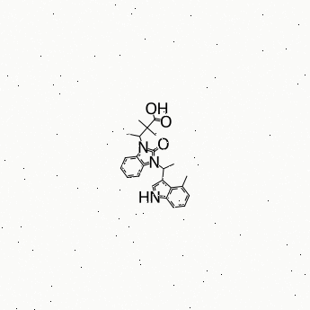 Cc1cccc2[nH]cc(C(C)n3c(=O)n(C(C)C(C)(C)C(=O)O)c4ccccc43)c12